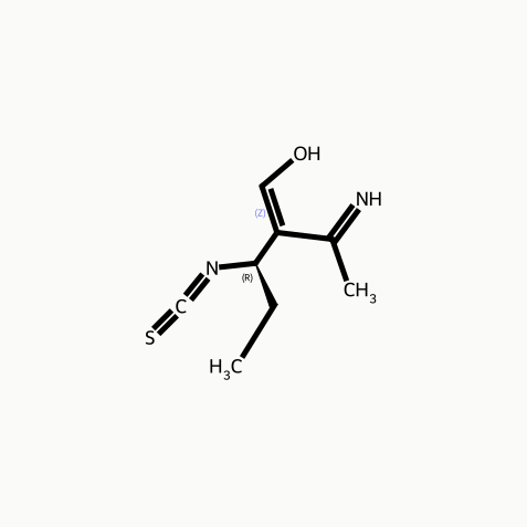 CC[C@@H](N=C=S)/C(=C/O)C(C)=N